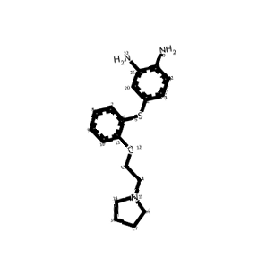 Nc1ccc(Sc2ccccc2OCCN2CCCC2)cc1N